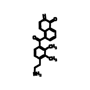 Cc1c(CCN)ccc(C(=O)c2cccc3c(=O)[nH]ccc23)c1C